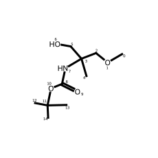 COCC(C)(CO)NC(=O)OC(C)(C)C